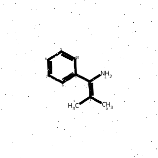 CC(C)=C(N)c1ccccc1